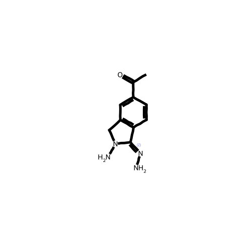 CC(=O)c1ccc2c(c1)CN(N)/C2=N\N